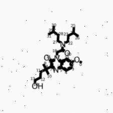 COc1ccc2nc(C(C)(C)CCCO)c(=O)n(CC(=O)N(CCC(C)C)CCC(C)C)c2c1